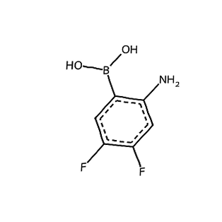 Nc1cc(F)c(F)cc1B(O)O